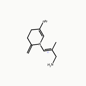 C=C1CCC(CCC)=CN1/C=C(\C)CN